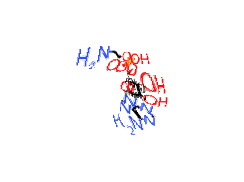 NCC(=O)OP(=O)(O)OC[C@H]1O[C@@H](n2cnc3c(N)ncnc32)[C@H](O)[C@@H]1O